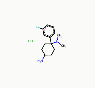 CN(C)C1(c2cccc(F)c2)CCC(N)CC1.Cl